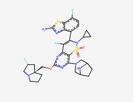 Nc1nc2c(C3=C(F)c4nc(OC[C@@]56CCCN5C[C@H](F)C6)nc(N5CC6CCC(C5)N6)c4S(=O)(=O)N3C3CC3)ccc(F)c2s1